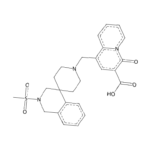 CS(=O)(=O)N1Cc2ccccc2C2(CCN(Cc3cc(C(=O)O)c(=O)n4ccccc34)CC2)C1